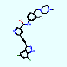 CN1CCN(Cc2ccc(NC(O)c3cncc(C#Cc4n[nH]c5c(F)cc(F)cc45)c3)cc2C(F)(F)F)CC1